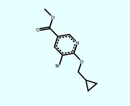 COC(=O)c1cnc(OCC2CC2)c(Br)c1